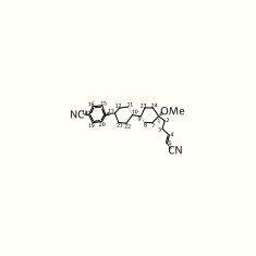 CO[C@]1(CCC=CC#N)CC[C@H]([C@H]2CC[C@H](c3ccc(C#N)cc3)CC2)CC1